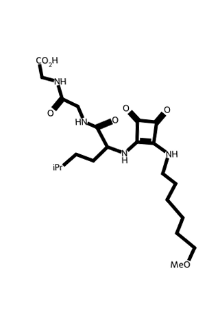 COCCCCCCNc1c(NC(CCC(C)C)C(=O)NCC(=O)NCC(=O)O)c(=O)c1=O